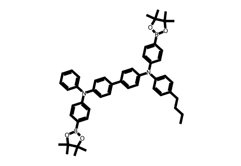 CCCCc1ccc(N(c2ccc(B3OC(C)(C)C(C)(C)O3)cc2)c2ccc(-c3ccc(N(c4ccccc4)c4ccc(B5OC(C)(C)C(C)(C)O5)cc4)cc3)cc2)cc1